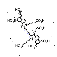 CC1(C)C(/C=C/C=C/C=C2\N(CCCS(=O)(=O)O)c3ccc4c(S(=O)(=O)O)cc(S(=O)(=O)O)cc4c3C2(C)CCCCCC(=O)O)=[N+](CCCCCC(=O)O)c2ccc3c(SOOO)cc(S(=O)(=O)O)cc3c21